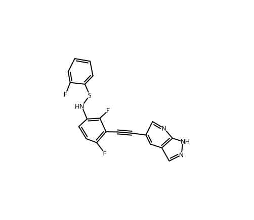 Fc1ccccc1SNc1ccc(F)c(C#Cc2cnc3[nH]ncc3c2)c1F